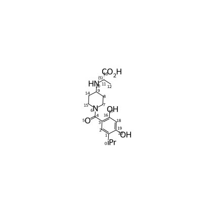 CC(C)c1cc(C(=O)N2CCC(N[C@@H](C)C(=O)O)CC2)c(O)cc1O